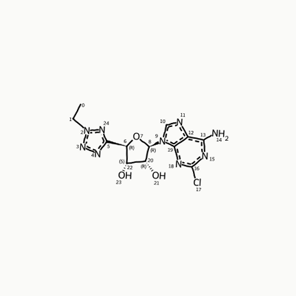 CCn1nnc([C@H]2O[C@@H](n3cnc4c(N)nc(Cl)nc43)[C@H](O)[C@@H]2O)n1